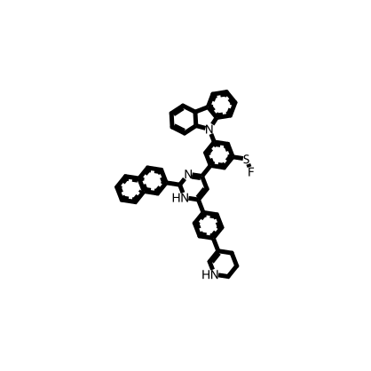 FSc1cc(C2=NC(c3ccc4ccccc4c3)NC(c3ccc(C4=CNCCC4)cc3)=C2)cc(N2c3ccccc3C3C=CC=CC32)c1